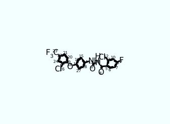 O=C(NC(=O)c1ccc(F)cc1Cl)Nc1ccc(Oc2ccc(C(F)(F)F)cc2Cl)cc1